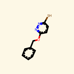 Sc1ccc(OCc2ccccc2)nn1